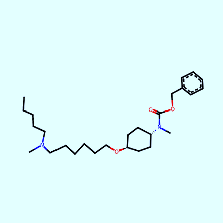 CCCCCN(C)CCCCCCO[C@H]1CC[C@H](N(C)C(=O)OCc2ccccc2)CC1